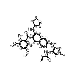 C=CC(=O)Nc1cn(C)nc1Nc1cc2cc(NC3CCOC3)c(C(=O)c3c(F)c(OC)cc(OC)c3F)cc2cn1